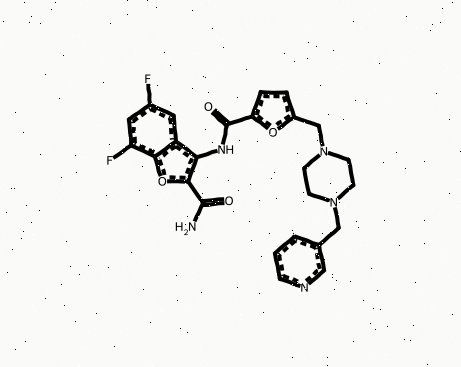 NC(=O)c1oc2c(F)cc(F)cc2c1NC(=O)c1ccc(CN2CCN(Cc3cccnc3)CC2)o1